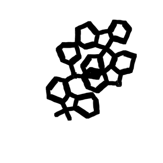 CC1(C)c2ccccc2-c2c(N(c3ccccc3)c3ccc4oc5cccc(C6(c7ccccc7)c7ccccc7-c7ccccc76)c5c4c3)cccc21